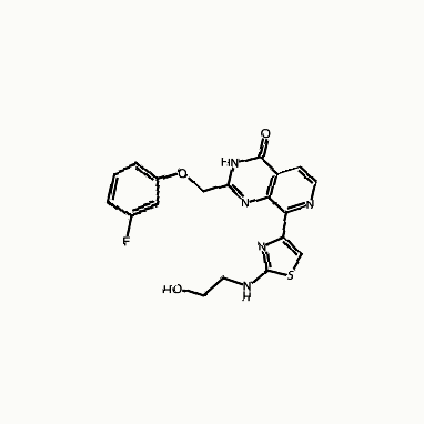 O=c1[nH]c(COc2cccc(F)c2)nc2c(-c3csc(NCCO)n3)nccc12